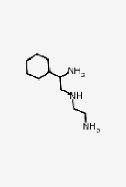 NCCNCC(N)C1CCCCC1